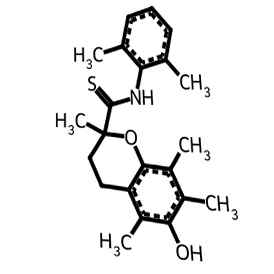 Cc1cccc(C)c1NC(=S)C1(C)CCc2c(C)c(O)c(C)c(C)c2O1